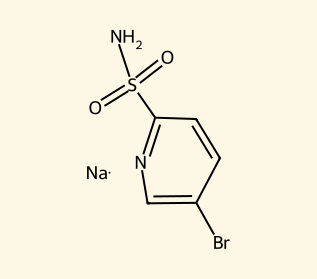 NS(=O)(=O)c1ccc(Br)cn1.[Na]